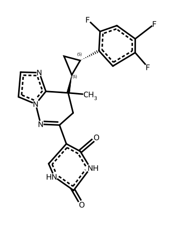 CC1([C@H]2C[C@@H]2c2cc(F)c(F)cc2F)CC(c2c[nH]c(=O)[nH]c2=O)=Nn2ccnc21